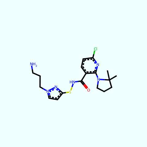 CC1(C)CCCN1c1nc(Cl)ccc1C(=O)NSc1ccn(CCCN)n1